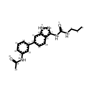 CCCNC(=O)Nc1n[nH]c2cc(-c3cccc(NC(C)=O)c3)ccc12